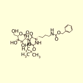 CC(C)(C)OC(=O)N[C@@H](CCCCNC(=O)OCc1ccccc1)C(=O)NC1[C@H](O)OC(CO)[C@@H](O)[C@H]1O